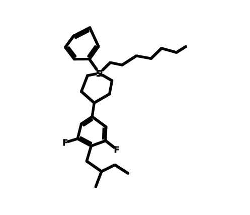 CCCCCCC[Si]1(c2ccccc2)CCC(c2cc(F)c(CC(C)CC)c(F)c2)CC1